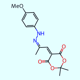 COc1ccc(N/N=C(/C)C=C2C(=O)OC(C)(C)OC2=O)cc1